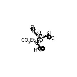 CCOC(=O)CN(CCc1c[nH]c2ccccc12)C(=O)CC1C(=O)N(CCc2ccc(Cl)cc2Cl)CC(=O)N1CCCN1CCOCC1